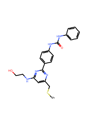 CC(C)SCc1cc(NCCO)nc(-c2ccc(NC(=O)Nc3ccccc3)cc2)n1